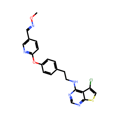 CON=Cc1ccc(Oc2ccc(CCNc3ncnc4scc(Cl)c34)cc2)nc1